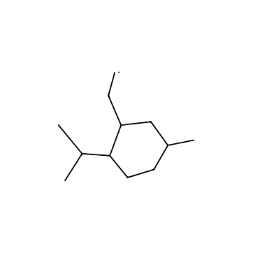 [CH2]CC1CC(C)CCC1C(C)C